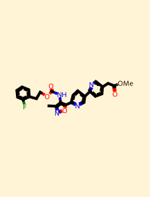 COC(=O)Cc1ccc(-c2ccc(-c3onc(C)c3NC(=O)OCCc3ccccc3F)nc2)nc1